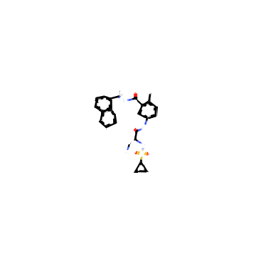 Cc1ccc(NC(=O)[C@H](CN)NS(=O)(=O)C2CC2)cc1C(=O)N[C@H](C)c1cccc2ccccc12